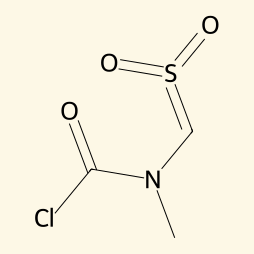 CN(C=S(=O)=O)C(=O)Cl